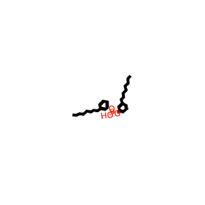 CCCCCCCCc1cccc(OP(O)Oc2cccc(CCCCCCCC)c2)c1